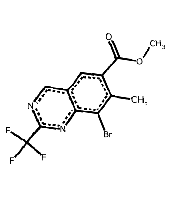 COC(=O)c1cc2cnc(C(F)(F)F)nc2c(Br)c1C